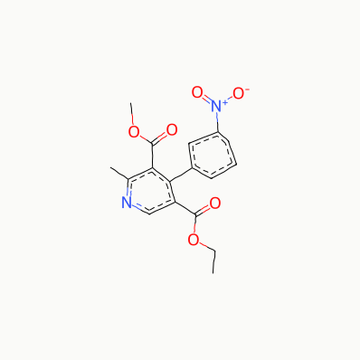 CCOC(=O)c1cnc(C)c(C(=O)OC)c1-c1cccc([N+](=O)[O-])c1